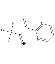 C=C(C(=N)C(F)(F)F)c1ncccn1